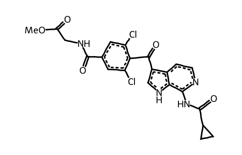 COC(=O)CNC(=O)c1cc(Cl)c(C(=O)c2c[nH]c3c(NC(=O)C4CC4)nccc23)c(Cl)c1